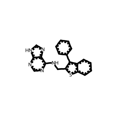 c1ccc(-c2c(CNc3ncnc4[nH]cnc34)sc3ccccc23)cc1